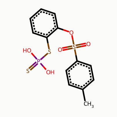 Cc1ccc(S(=O)(=O)Oc2ccccc2SP(O)(O)=S)cc1